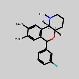 COc1cc2c(cc1OC)[C@H]1[C@H](CCCN1C)OC2c1cccc(F)c1